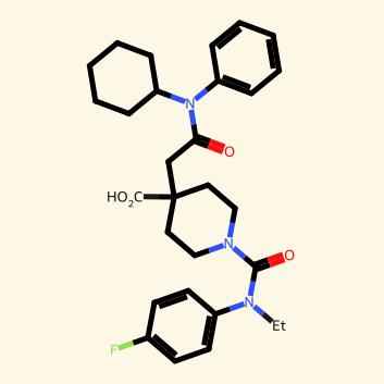 CCN(C(=O)N1CCC(CC(=O)N(c2ccccc2)C2CCCCC2)(C(=O)O)CC1)c1ccc(F)cc1